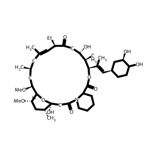 CC[C@@H]1/C=C(\C)C[C@H](C)C[C@H](OC)[C@H]2O[C@@](O)(CC(=O)N3CCCCC3C(=O)O[C@H](/C(C)=C/[C@@H]3CCC(O)[C@H](O)C3)[C@H](C)[C@@H](O)CC1=O)[C@H](C)C[C@@H]2OC